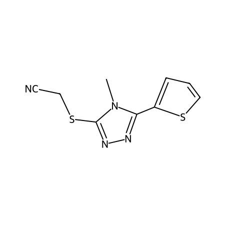 Cn1c(SCC#N)nnc1-c1cccs1